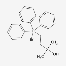 CC(C)(O)CCP(Br)(c1ccccc1)(c1ccccc1)c1ccccc1